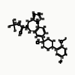 COc1ccc(F)cc1C1CCC(Cl)(c2ccc3c(c2)CN(C(=O)OC(C)(C)C)Cc2nncn2-3)CC1